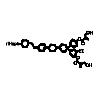 C=C(CO)C(=O)Oc1ccc(C2(c3ccc(OC(=O)C(=C)CO)c(CC)c3)CCC(C3CCC(c4ccc(CCC5CCC(CCCCCCC)CC5)cc4)CC3)CC2)cc1